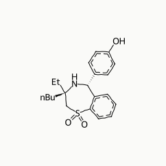 CCCC[C@]1(CC)CS(=O)(=O)c2ccccc2[C@@H](c2ccc(O)cc2)N1